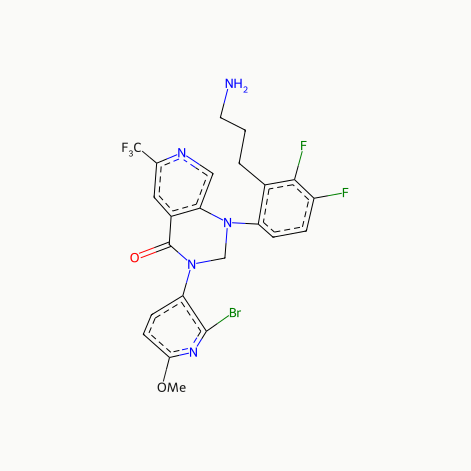 COc1ccc(N2CN(c3ccc(F)c(F)c3CCCN)c3cnc(C(F)(F)F)cc3C2=O)c(Br)n1